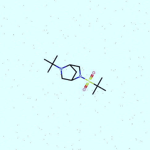 CC(C)(C)N1CC2CC1CN2S(=O)(=O)C(C)(C)C